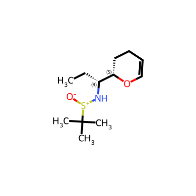 CC[C@@H](N[S+]([O-])C(C)(C)C)[C@@H]1CCC=CO1